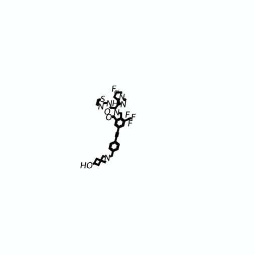 O=C(Nc1nccs1)C(c1ncn2c1C[C@@H](F)C2)N1Cc2c(cc(C#Cc3ccc(CN4CC5(CC(O)C5)C4)cc3)cc2C(F)(F)F)C1=O